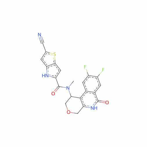 CN(C(=O)c1cc2sc(C#N)cc2[nH]1)C1COCc2[nH]c(=O)c3cc(F)c(F)cc3c21